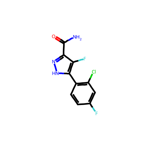 NC(=O)c1n[nH]c(-c2ccc(F)cc2Cl)c1F